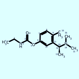 CCNC(=O)Oc1ccc(C)c([C@H](C)N(C)C)c1